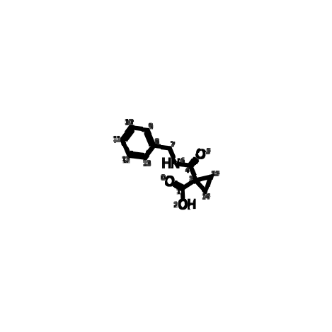 O=C(O)C1(C(=O)NCc2ccccc2)CC1